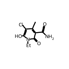 CCn1c(O)c(Cl)c(C)c(C(N)=O)c1=O